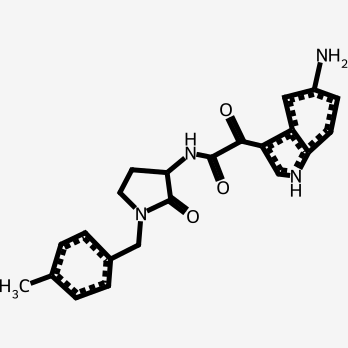 Cc1ccc(CN2CCC(NC(=O)C(=O)c3c[nH]c4ccc(N)cc34)C2=O)cc1